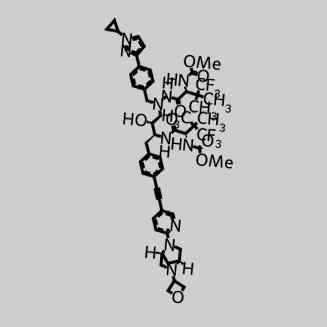 COC(=O)N[C@H](C(=O)N[C@@H](Cc1ccc(C#Cc2ccc(N3C[C@H]4C[C@@H]3CN4C3COC3)nc2)cc1)[C@@H](O)CN(Cc1ccc(-c2ccn(C3CC3)n2)cc1)NC(=O)[C@@H](NC(=O)OC)C(C)(C)C(F)(F)F)C(C)(C)C(F)(F)F